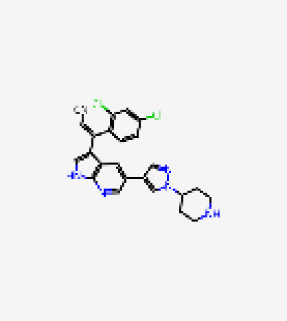 N#C/C=C(\c1ccc(Cl)cc1Cl)c1c[nH]c2ncc(-c3cnn(C4CCNCC4)c3)cc12